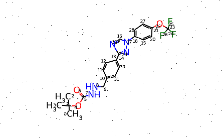 CC(C)(C)OC(=O)NNCc1ccc(-c2ncn(-c3ccc(OC(F)(F)F)cc3)n2)cc1